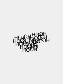 OC[C@@H](O)[C@@H](O[C@@H]1O[C@H](CO)[C@@H](O[C@@H]2O[C@H](CO[C@@H]3O[C@H](CO)[C@@H](O)[C@H](O)[C@H]3O)[C@@H](O)[C@H](O)[C@H]2O)[C@H](O)[C@H]1O)[C@H](O)[C@@H](O)CO